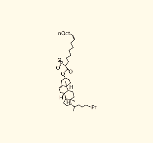 CCCCCCCC/C=C\CCCCCCC(C(=O)O[C@H]1CC[C@@]2(C)C(=CC[C@H]3[C@@H]4CC[C@H](C(C)CCCC(C)C)[C@@]4(C)CC[C@@H]32)C1)P(=O)=O